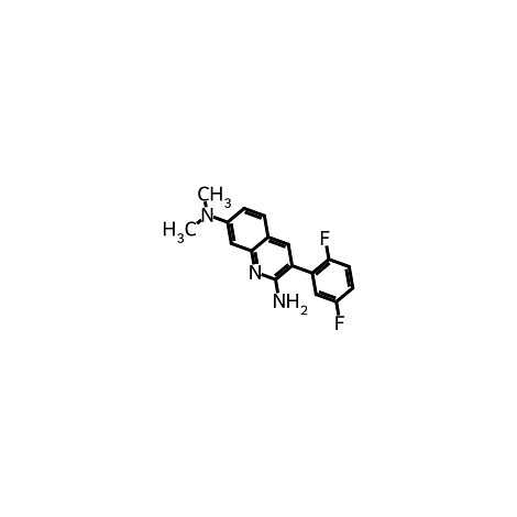 CN(C)c1ccc2cc(-c3cc(F)ccc3F)c(N)nc2c1